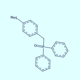 CSc1ccc(CP(=O)(c2ccccc2)c2ccccc2)cc1